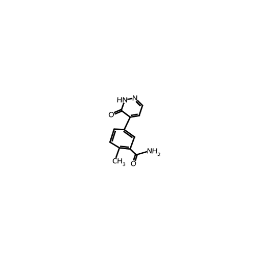 Cc1ccc(-c2ccn[nH]c2=O)cc1C(N)=O